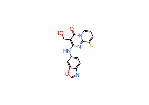 O=c1c(CO)c(Nc2ccc3ncoc3c2)nc2c(F)cccn12